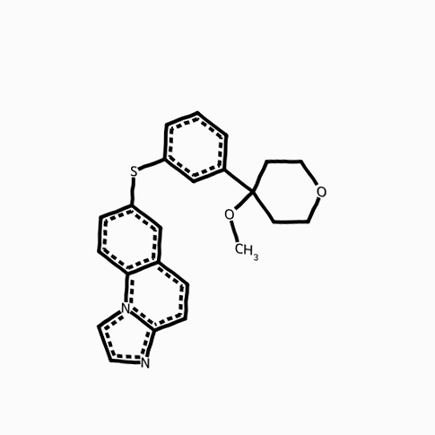 COC1(c2cccc(Sc3ccc4c(ccc5nccn54)c3)c2)CCOCC1